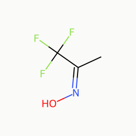 CC(=NO)C(F)(F)F